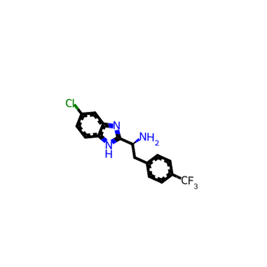 N[C@@H](Cc1ccc(C(F)(F)F)cc1)c1nc2cc(Cl)ccc2[nH]1